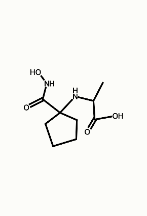 CC(NC1(C(=O)NO)CCCC1)C(=O)O